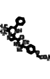 CCC(CC)(NC(=O)c1cnn2c1NC(c1ccccc1)CC2(C)C)c1ccc(OCC(=O)O)cc1